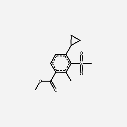 COC(=O)c1ccc(C2CC2)c(S(C)(=O)=O)c1C